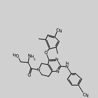 Cc1cc(C#N)cc(C)c1Oc1nc(Nc2ccc(C#N)cc2)nc2c1CN(C(=O)C(N)CO)CC2